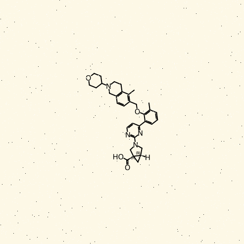 Cc1cccc(-c2ccnc(N3C[C@@H]4C[C@]4(C(=O)O)C3)n2)c1OCc1ccc2c(c1C)CCN(C1CCOCC1)C2